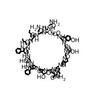 CCCC[C@H]1C(=O)N(C)[C@@H](CCCC)C(=O)N[C@@H](CCN)C(=O)N[C@H](C(=O)NCC(N)=O)CSCC(=O)N[C@@H](Cc2ccc(O)cc2)C(=O)N(C)[C@@H](C)C(=O)N[C@@H](CC(=O)O)C(=O)N2CCC[C@H]2C(=O)N[C@@H](Cc2cnc[nH]2)C(=O)N[C@@H](CCC(N)=O)C(=O)N2C[C@H](O)C[C@H]2C(=O)N[C@@H](Cc2c[nH]c3ccccc23)C(=O)N[C@@H](CO)C(=O)N[C@@H](Cc2c[nH]c3ccccc23)C(=O)N1C